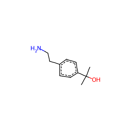 CC(C)(O)c1ccc(CCN)cc1